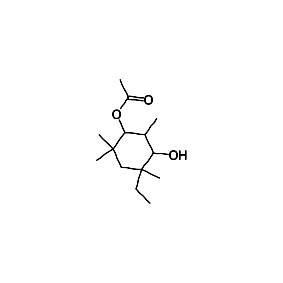 CCC1(C)CC(C)(C)C(OC(C)=O)C(C)C1O